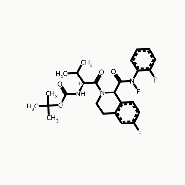 CC(C)[C@H](NC(=O)OC(C)(C)C)C(=O)N1CCc2cc(F)ccc2C1C(=O)N(F)c1ccccc1F